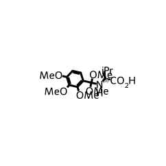 COc1ccc(C(N[C@H](C(=O)O)C(C)C)(OC)OC)c(OC)c1OC